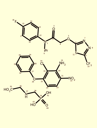 CC(C)N(C(=O)COc1nnc(C(F)(F)F)s1)c1ccc(F)cc1.Nc1c([N+](=O)[O-])ccc(Oc2ccccc2)c1Cl.O=C(O)CNCP(=O)(O)O